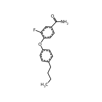 CCCCc1ccc(Oc2ccc(C(N)=O)cc2F)cc1